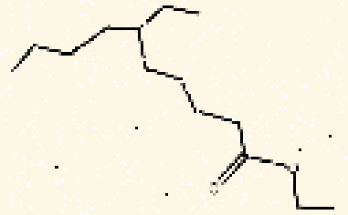 CCCCC(CC)CCCCC(=O)OCC